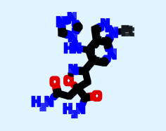 CCn1ncc2c(Nn3cnnc3)c(C3=NOC(CC(N)=O)(C(N)=O)C3)cnc21